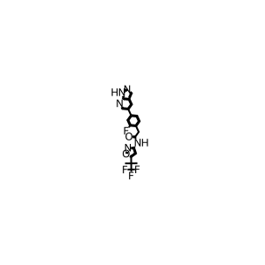 CC(C)(c1cc(NC(=O)Cc2ccc(-c3cnc4[nH]ncc4c3)cc2F)no1)C(F)(F)F